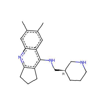 Cc1cc2nc3c(c(NC[C@@H]4CCCNC4)c2cc1C)CCC3